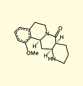 COc1cccc2c1[C@@H]1C[C@@H]3NCCC[C@@H]3C(=O)N1CC2